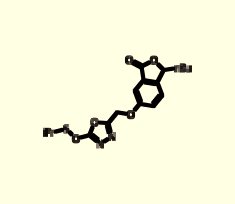 CCCCC1OC(=O)c2cc(OCc3nnc(OSC(C)C)o3)ccc21